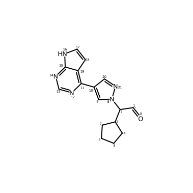 O=[C]C(C1CCCC1)n1cc(-c2ncnc3[nH]ccc23)cn1